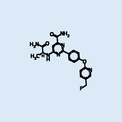 C[C@H](Nc1cc(C(N)=O)nc(-c2ccc(Oc3ccc(CF)cn3)cc2)n1)C(N)=O